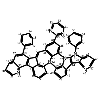 C1=C2c3c(cccc3-c3c2c(-c2ccccc2)cc2cccnc32)B2c3c1cc(-c1ncccn1)cc3-n1c3c2cccc3c2c3ncccc3n(-c3ccccc3)c21